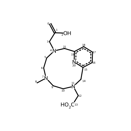 C=C(O)CN1CCN(C)CCN(CC(=O)O)Cc2cccc(n2)C1